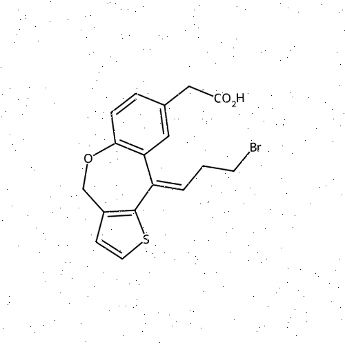 O=C(O)Cc1ccc2c(c1)/C(=C\CCBr)c1sccc1CO2